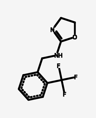 FC(F)(F)c1ccccc1CNC1=NCCO1